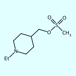 CCN1CCC(COS(C)(=O)=O)CC1